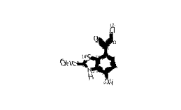 O=CC1Nc2c(O)ccc(C(=O)CCl)c2S1